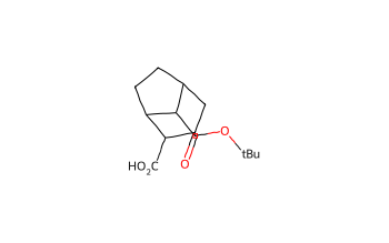 CC(C)(C)OC(=O)C1C2CCC(C(=O)O)C1CC2